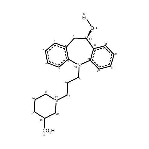 CCO[C@@H]1Cc2ccccc2N(CCCN2CCCC(C(=O)O)C2)c2ccccc21